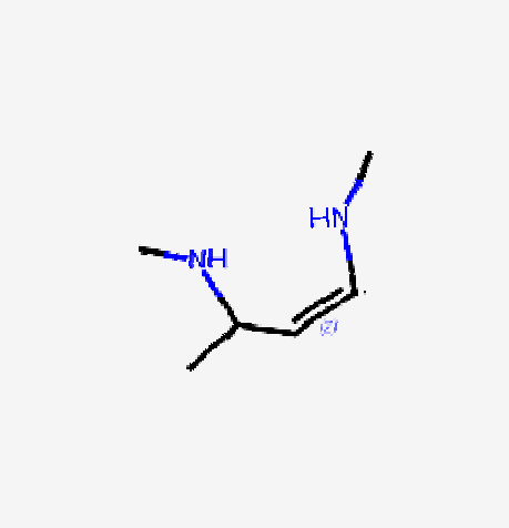 CN/[C]=C\C(C)NC